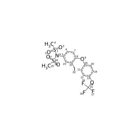 CS(=O)(=O)N(c1ccc(Oc2ccc(OC(F)(F)F)cc2)c(I)c1)S(C)(=O)=O